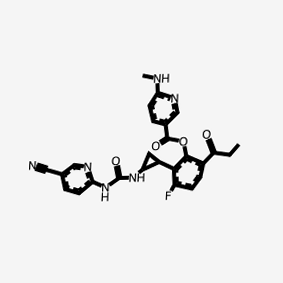 CCC(=O)c1ccc(F)c(C2CC2NC(=O)Nc2ccc(C#N)cn2)c1OC(=O)c1ccc(NC)nc1